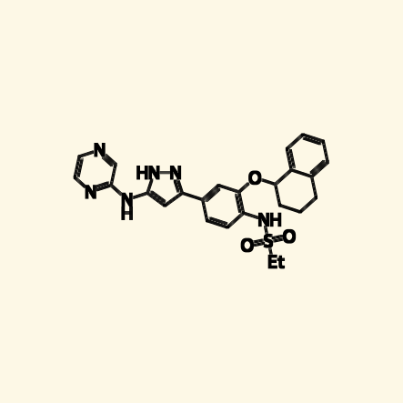 CCS(=O)(=O)Nc1ccc(-c2cc(Nc3cnccn3)[nH]n2)cc1OC1CCCc2ccccc21